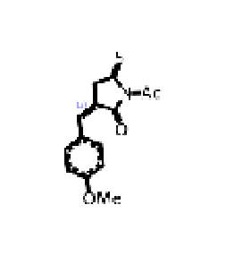 COc1ccc(/C=C2/CC(=S)N(C(C)=O)C2=O)cc1